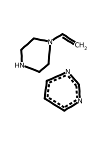 C=CN1CCNCC1.c1cncnc1